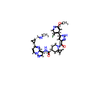 C=NC[C@H]1C[C@@H]1c1ccn2ncc(NC(=O)[C@H]3CCN(C(=O)c4cc(-c5cc(OC)ncc5F)[nH]n4)C4(CC4)C3)c2n1